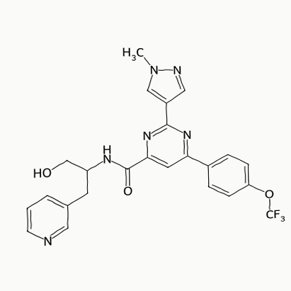 Cn1cc(-c2nc(C(=O)NC(CO)Cc3cccnc3)cc(-c3ccc(OC(F)(F)F)cc3)n2)cn1